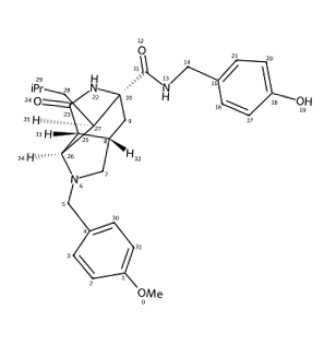 COc1ccc(CN2C[C@H]3C[C@]4(C(=O)NCc5ccc(O)cc5)NC(=O)[C@H]3[C@H]2[C@H]4CC(C)C)cc1